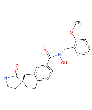 O=C(c1ccc2c(c1)C[C@]1(CCNC1=O)CC2)N(O)Cc1ccccc1OC(F)(F)F